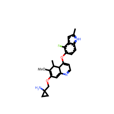 COC1=C(OCC2(N)CC2)C=C2N=CC=C(Oc3ccc4[nH]c(C)cc4c3F)C2C1C